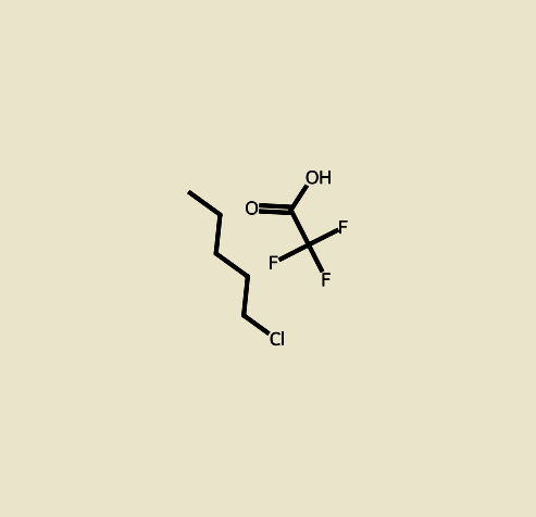 CCCCCCl.O=C(O)C(F)(F)F